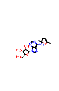 CC1=CCC(C)(Nc2ncnc3c2ncn3[C@@H]2O[C@H](CO)[C@@H](O)[C@H]2O)O1